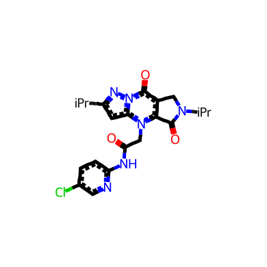 CC(C)c1cc2n(CC(=O)Nc3ccc(Cl)cn3)c3c(c(=O)n2n1)CN(C(C)C)C3=O